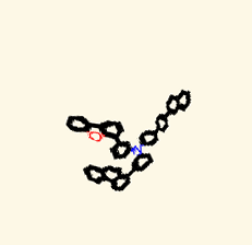 c1cc(-c2cccc3c2ccc2ccccc23)cc(N(c2ccc(-c3ccc(-c4ccc5ccccc5c4)cc3)cc2)c2cccc(-c3cccc4c3oc3ccccc34)c2)c1